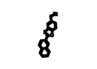 CCSc1ccc2oc(-c3ccc4ccccc4c3)nc2c1